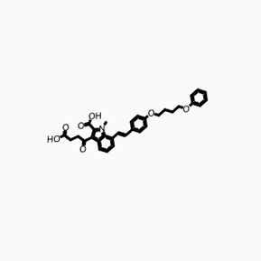 Cn1c(C(=O)O)c(C(=O)CCC(=O)O)c2cccc(C=Cc3ccc(OCCCCOc4ccccc4)cc3)c21